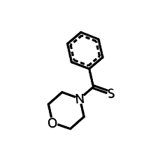 S=C(c1ccccc1)N1CCOCC1